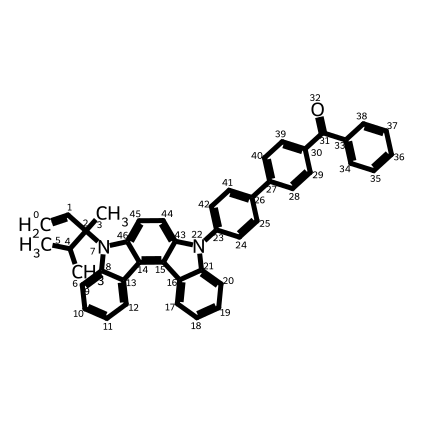 C=CC(C)(C(C)C)n1c2ccccc2c2c3c4ccccc4n(-c4ccc(-c5ccc(C(=O)c6ccccc6)cc5)cc4)c3ccc21